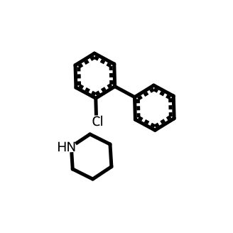 C1CCNCC1.Clc1ccccc1-c1ccccc1